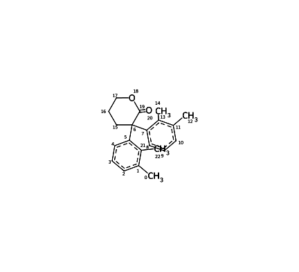 Cc1cccc(C2(c3cccc(C)c3C)CCCOC2=O)c1C